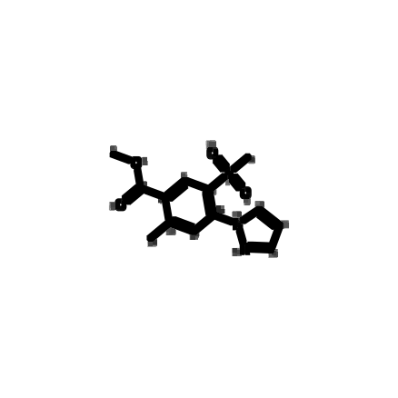 COC(=O)c1cc(S(C)(=O)=O)c(-n2cccn2)cc1C